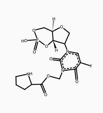 O=C(OCn1c(=O)c(F)cn(C2CO[C@@H]3COP(=O)(O)O[C@@H]23)c1=O)C1CCCN1